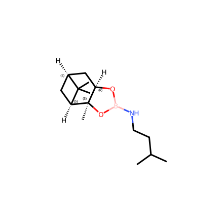 CC(C)CCNB1O[C@@H]2C[C@@H]3C[C@@H](C3(C)C)[C@]2(C)O1